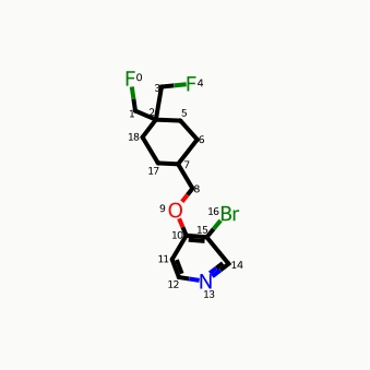 FCC1(CF)CCC(COc2ccncc2Br)CC1